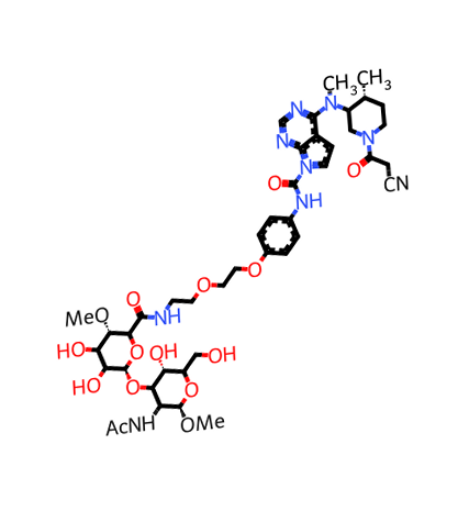 CO[C@@H]1OC(CO)[C@@H](O)C(O[C@@H]2OC(C(=O)NCCOCCOc3ccc(NC(=O)n4ccc5c(N(C)C6CN(C(=O)CC#N)CC[C@H]6C)ncnc54)cc3)[C@@H](OC)C(O)C2O)C1NC(C)=O